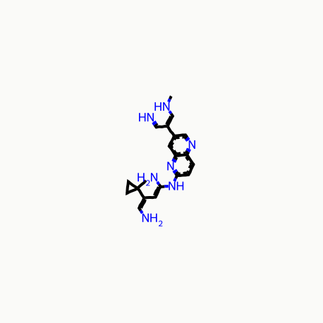 CN/C=C(\C=N)c1cnc2ccc(N/C(N)=C/C(=C\N)C3(C)CC3)nc2c1